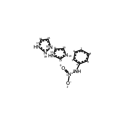 O=[N+]([O-])Nc1ccccc1.c1c[nH]cn1.c1c[nH]nn1